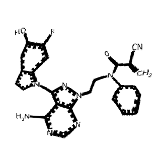 C=C(C#N)C(=O)N(CCn1nc(-n2ccc3cc(O)c(F)cc32)c2c(N)ncnc21)c1ccccc1